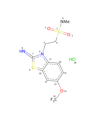 CNS(=O)(=O)CCn1c(=N)sc2cc(OC(F)(F)F)ccc21.Cl